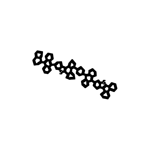 c1ccc2c(-c3c4ccccc4c(-c4ccc5c(c4)sc4c6ccccc6c6c(-c7ccc(-c8c9ccccc9c(-c9ccc%10c(c9)sc9c%11ccccc%11c%11ccccc%11c%109)c9ccccc89)cc7)cccc6c54)c4ccccc34)cccc2c1